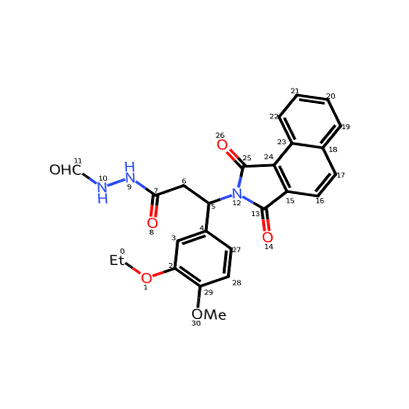 CCOc1cc(C(CC(=O)NNC=O)N2C(=O)c3ccc4ccccc4c3C2=O)ccc1OC